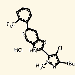 Cl.Cn1nc(C(C)(C)C)c(Cl)c1-c1nc2cc(-c3ccccc3C(F)(F)F)ncc2[nH]1